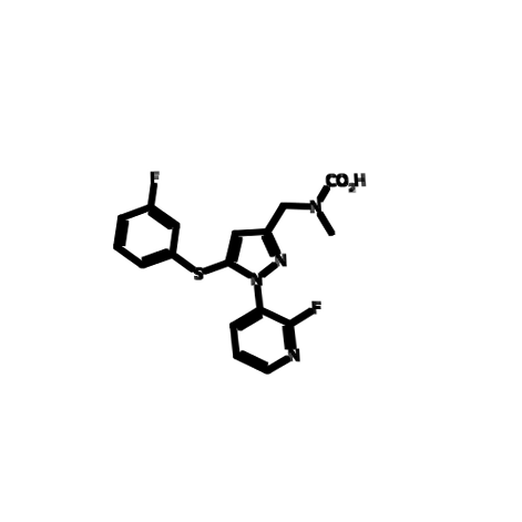 CN(Cc1cc(Sc2cccc(F)c2)n(-c2cccnc2F)n1)C(=O)O